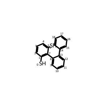 Sc1cccc(S)c1-c1ccccc1-c1ccccc1